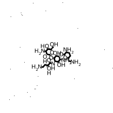 NCC[C@@H](O)C(=O)NC1[C@H](O[C@H]2OC(CO)[C@@H](O)C(N)C2O)C(O)C(O[C@H]2O[C@H](CN)CCC2N)[C@@H](N)[C@H]1O